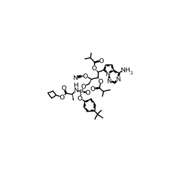 CC(C)C(=O)O[C@H]([C@@H](COP(=O)(N[C@@H](C)C(=O)OC1CCC1)Oc1ccc(C(C)(C)C)cc1)OC#N)[C@@H](OC(=O)C(C)C)c1ccc2c(N)ncnn12